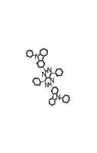 c1ccc(-c2nc(-c3ccc4c(c3)c3ccccc3n4-c3ccccc3)nc3c(-c4ccccc4)nc(-c4ccc5c(c4)c4ccccc4n5-c4ccccc4)nc23)cc1